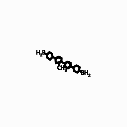 BC1CCC(c2ccc(-c3ccc(C4CCC(B)CC4)cc3C)cc2)CC1